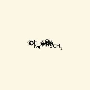 CC1=CNN(NC(=O)c2cc([C@@H]3C[C@H]3NCC3CCOCC3)cs2)S1